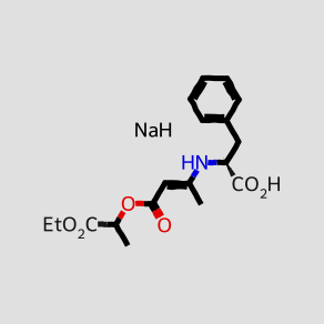 CCOC(=O)C(C)OC(=O)/C=C(\C)N[C@@H](Cc1ccccc1)C(=O)O.[NaH]